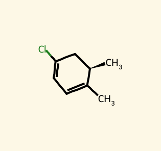 CC1=CC=C(Cl)C[C@H]1C